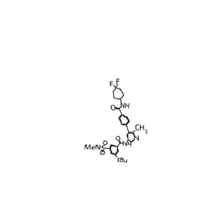 CNS(=O)(=O)c1cc(C(=O)Nc2cnc(C)c(-c3ccc(C(=O)NC4CCC(F)(F)CC4)cc3)c2)cc(C(C)(C)C)c1